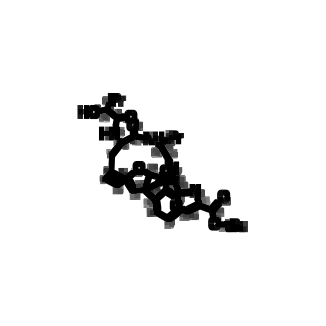 CC(C)[C@H](O)C(=O)N[C@H]1Cc2ccc3c(c2)C2(c4ccccc4NC2O3)c2oc(nc2-c2nc(C(=O)OC(C)(C)C)co2)[C@H](C(C)C)NC1=O